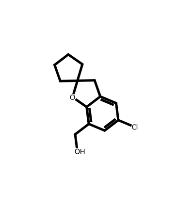 OCc1cc(Cl)cc2c1OC1(CCCC1)C2